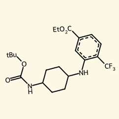 CCOC(=O)c1ccc(C(F)(F)F)c(NC2CCC(NC(=O)OC(C)(C)C)CC2)c1